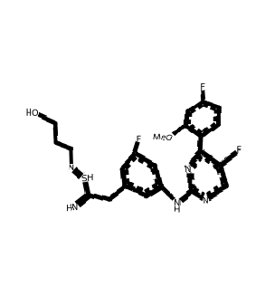 COc1cc(F)ccc1-c1nc(Nc2cc(F)cc(CC(=N)/[SH]=N/CCCO)c2)ncc1F